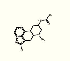 CN1CC(NC(=O)C(C)(C)C)CC2c3cccc4[nH]c(Cl)c(c34)CC21